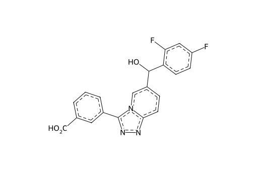 O=C(O)c1cccc(-c2nnc3ccc(C(O)c4ccc(F)cc4F)cn23)c1